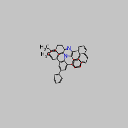 CC(C)=c1ccc2c(c1)N(c1c(-c3ccccc3)cc(-c3ccccc3)cc1-c1ccccc1)c1c(c3cccc4ccc5cccc1c5c43)N=2